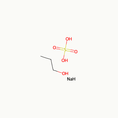 CCCO.O=S(=O)(O)O.[NaH]